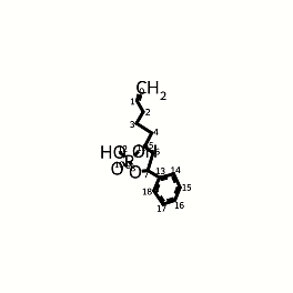 C=CCCCCCC(OP(=O)(O)O)c1ccccc1